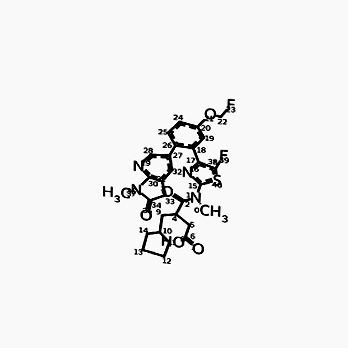 CN(C(=O)C(CC(=O)O)CC1CCCC1)c1nc(-c2cc(OCF)ccc2-c2cnc3c(c2)CC(=O)N3C)c(F)s1